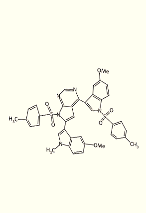 COc1ccc2c(c1)c(-c1cc3c(-c4cn(S(=O)(=O)c5ccc(C)cc5)c5ccc(OC)cc45)ncnc3n1S(=O)(=O)c1ccc(C)cc1)cn2C